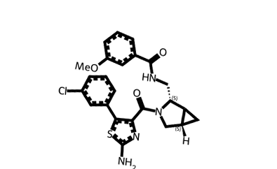 COc1cccc(C(=O)NC[C@@H]2C3C[C@@H]3CN2C(=O)c2nc(N)sc2-c2cccc(Cl)c2)c1